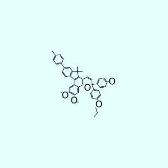 CCCOc1ccc(C2(c3ccc(OC)cc3)C=Cc3c4c(c5cc(OC)c(OC)cc5c3O2)-c2ccc(-c3ccc(C)cc3)cc2C4(C)C)cc1